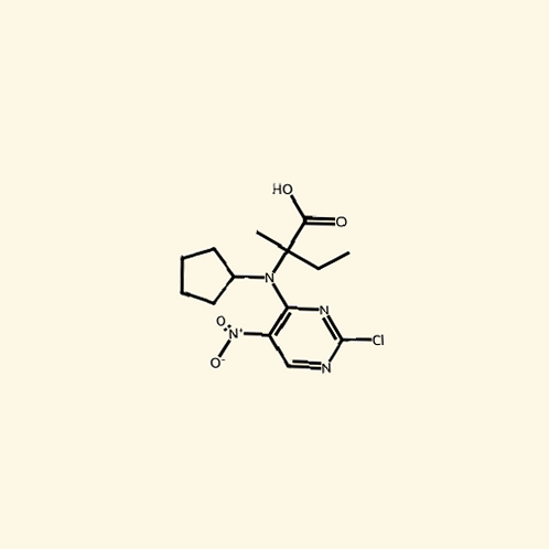 CCC(C)(C(=O)O)N(c1nc(Cl)ncc1[N+](=O)[O-])C1CCCC1